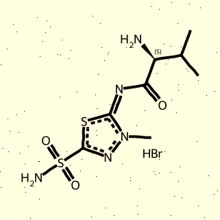 Br.CC(C)[C@H](N)C(=O)N=c1sc(S(N)(=O)=O)nn1C